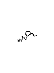 C=C(CCC)Oc1cccc(/C=C/C)c1